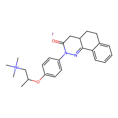 CC(C[N+](C)(C)C)Oc1ccc(N2N=C3c4ccccc4CCC3CC2=O)cc1.[I-]